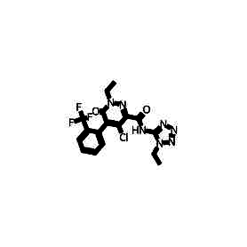 CCn1nnnc1NC(=O)c1nn(CC)c(=O)c(-c2ccccc2C(F)(F)F)c1Cl